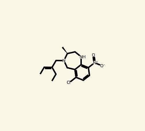 C/C=C(\CC)CN1Cc2c(Cl)ccc([N+](=O)[O-])c2NC[C@@H]1C